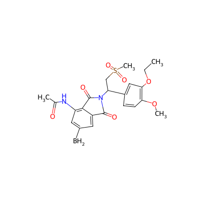 Bc1cc(NC(C)=O)c2c(c1)C(=O)N(C(CS(C)(=O)=O)c1ccc(OC)c(OCC)c1)C2=O